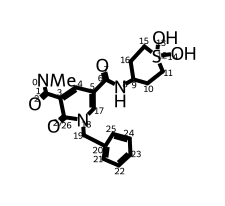 CNC(=O)c1cc(C(=O)NC2CCS(O)(O)CC2)cn(Cc2ccccc2)c1=O